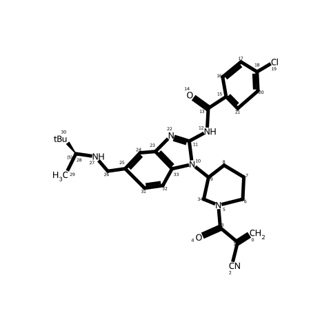 C=C(C#N)C(=O)N1CCCC(n2c(NC(=O)c3ccc(Cl)cc3)nc3cc(CN[C@@H](C)C(C)(C)C)ccc32)C1